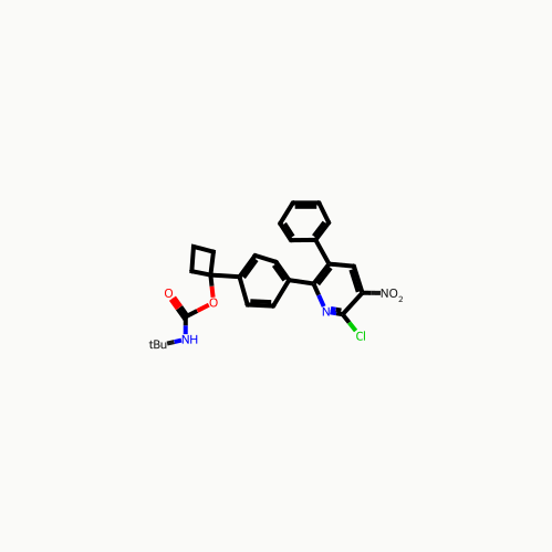 CC(C)(C)NC(=O)OC1(c2ccc(-c3nc(Cl)c([N+](=O)[O-])cc3-c3ccccc3)cc2)CCC1